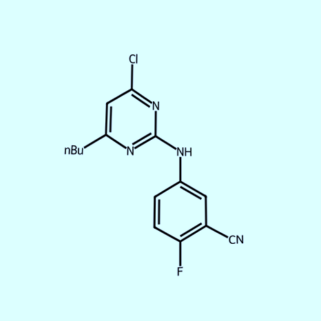 CCCCc1cc(Cl)nc(Nc2ccc(F)c(C#N)c2)n1